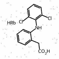 O=C(O)Cc1ccccc1Nc1c(Cl)cccc1Cl.[RbH]